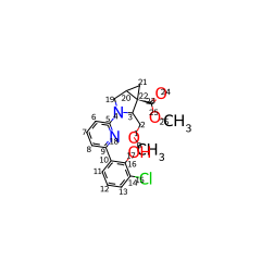 COCC1N(c2cccc(-c3cccc(Cl)c3O)n2)CC2C[C@@]21C(=O)OC